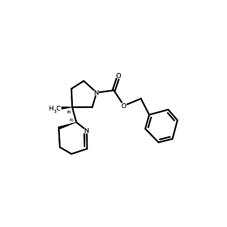 C[C@@]1([C@@H]2CCCC=N2)CCN(C(=O)OCc2ccccc2)C1